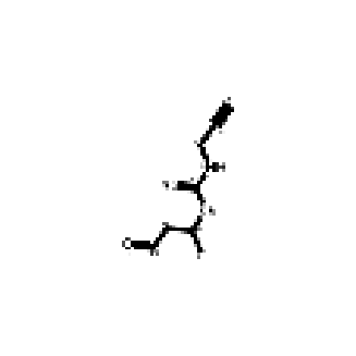 C#CCNC(=O)OC(C)CC=O